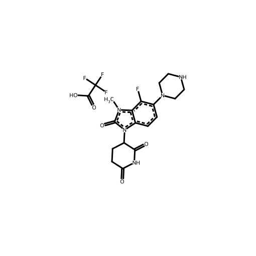 Cn1c(=O)n(C2CCC(=O)NC2=O)c2ccc(N3CCNCC3)c(F)c21.O=C(O)C(F)(F)F